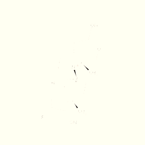 C[C@]12COC(O)CC1=CC=C1[C@H]2CC[C@]2(C)C(O)C(F)C[C@@H]12